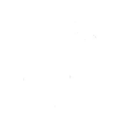 CC12CCC3C(C(O)CC4CCCCC43C)C1CCC2CCCC(=O)Nc1ccccc1S